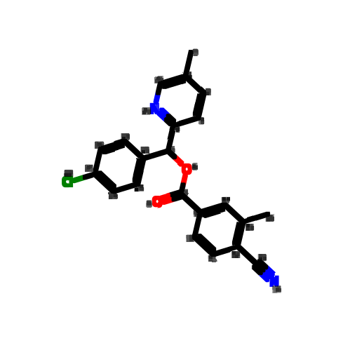 Cc1ccc(C(OC(=O)c2ccc(C#N)c(C)c2)c2ccc(Cl)cc2)nc1